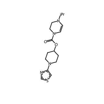 CC(C)N1C=CN(C(=O)OC2CCN(c3cscn3)CC2)CC1